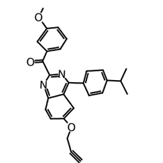 C#CCOc1ccc2nc(C(=O)c3cccc(OC)c3)nc(-c3ccc(C(C)C)cc3)c2c1